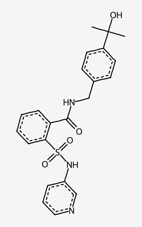 CC(C)(O)c1ccc(CNC(=O)c2ccccc2S(=O)(=O)Nc2cccnc2)cc1